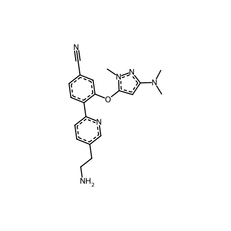 CN(C)c1cc(Oc2cc(C#N)ccc2-c2ccc(CCN)cn2)n(C)n1